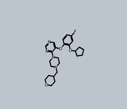 Fc1ccc(Oc2cncnc2N2CCN(CC3CCOCC3)CC2)c(OC2CCCC2)c1